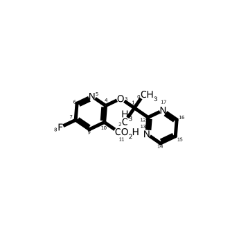 CC(C)(Oc1ncc(F)cc1C(=O)O)c1ncccn1